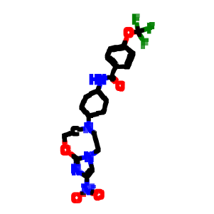 O=C(NC1CCC(N2CCOc3nc([N+](=O)[O-])cn3CC2)CC1)c1ccc(OC(F)(F)F)cc1